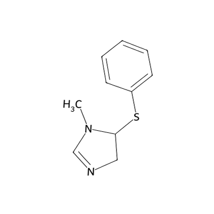 CN1C=NCC1Sc1ccccc1